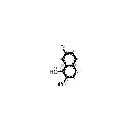 CC(C)c1cnc2ccc(F)cc2c1O